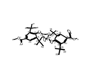 COC(=O)c1cc(C(C)(C)C)c(OP2OP(Oc3c(C(C)(C)C)cc(C(=O)OC)cc3C(C)(C)C)O2)c(C(C)(C)C)c1